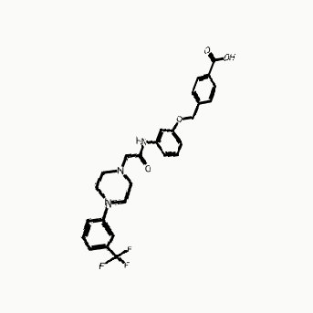 O=C(CN1CCN(c2cccc(C(F)(F)F)c2)CC1)Nc1cccc(OCc2ccc(C(=O)O)cc2)c1